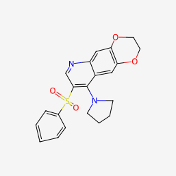 O=S(=O)(c1ccccc1)c1cnc2cc3c(cc2c1N1CCCC1)OCCO3